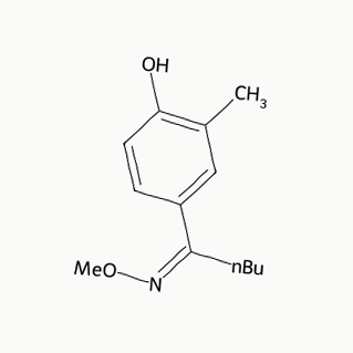 CCCC/C(=N/OC)c1ccc(O)c(C)c1